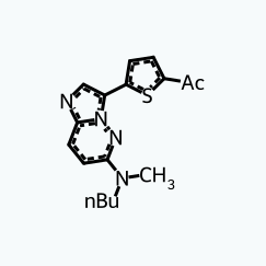 CCCCN(C)c1ccc2ncc(-c3ccc(C(C)=O)s3)n2n1